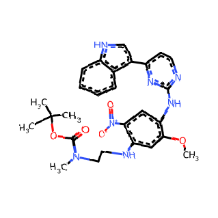 COc1cc(NCCN(C)C(=O)OC(C)(C)C)c([N+](=O)[O-])cc1Nc1nccc(-c2c[nH]c3ccccc23)n1